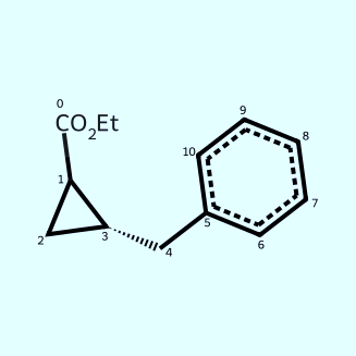 CCOC(=O)C1C[C@H]1Cc1ccccc1